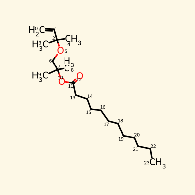 C=CC(C)(C)OCC(C)(C)OC(=O)CCCCCCCCCCC